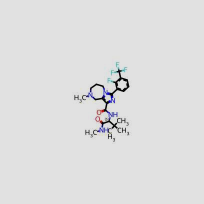 CNC(=O)[C@@H](NC(=O)c1nc(-c2cccc(C(F)(F)F)c2F)n2c1CN(C)CCC2)C(C)(C)C